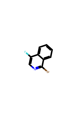 Fc1cnc(Br)c2ccccc12